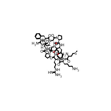 CSCC[C@H](N)C(=O)N[C@@H](CCCCN)C(=O)N[C@@H](CCCNC(=N)N)C(=O)N1CCC[C@H]1C(=O)N1CCC[C@H]1C(=O)NCC(=O)N[C@@H](Cc1ccccc1)C(=O)N[C@@H](CO)C(=O)N1CCC[C@H]1C(=O)N[C@@H](Cc1ccccc1)C(=O)N[C@@H](CCCNC(=N)N)C(=O)O